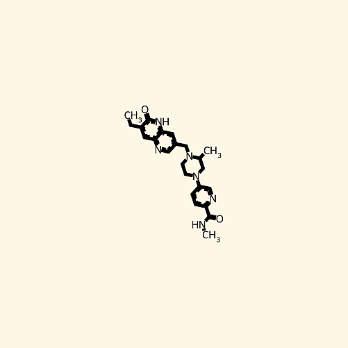 CCc1cc2ncc(CN3CCN(c4ccc(C(=O)NC)nc4)CC3C)cc2[nH]c1=O